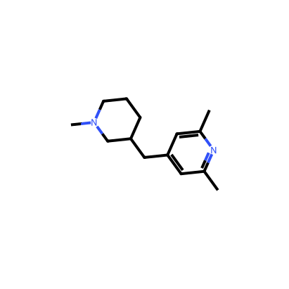 Cc1cc(CC2CCCN(C)C2)cc(C)n1